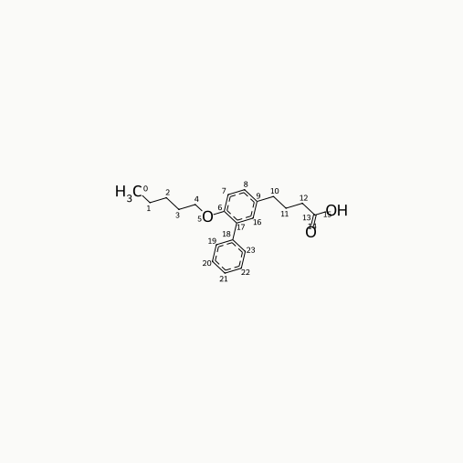 CCCCCOc1ccc(CCCC(=O)O)cc1-c1ccccc1